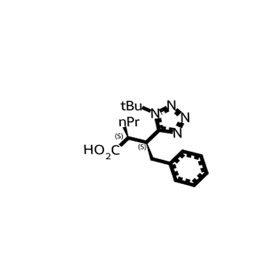 CCC[C@H](C(=O)O)[C@H](Cc1ccccc1)c1nnnn1C(C)(C)C